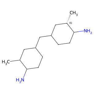 CC1CC(CC2CCC(N)[C@@H](C)C2)CCC1N